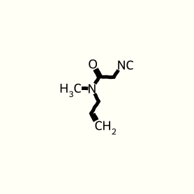 [C-]#[N+]CC(=O)N(C)CC=C